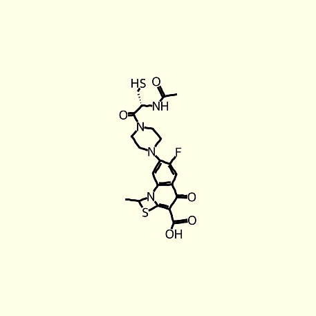 CC(=O)N[C@@H](CS)C(=O)N1CCN(c2cc3c(cc2F)c(=O)c(C(=O)O)c2n3C(C)S2)CC1